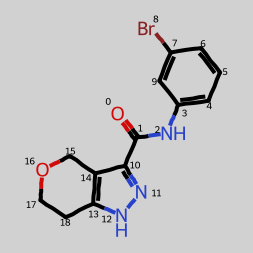 O=C(Nc1cccc(Br)c1)c1n[nH]c2c1COCC2